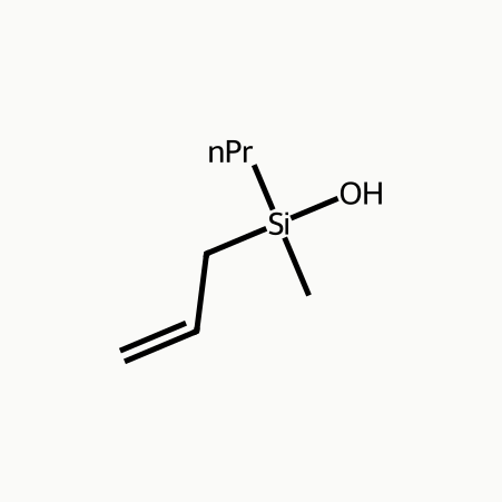 C=CC[Si](C)(O)CCC